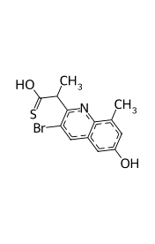 Cc1cc(O)cc2cc(Br)c(C(C)C(O)=S)nc12